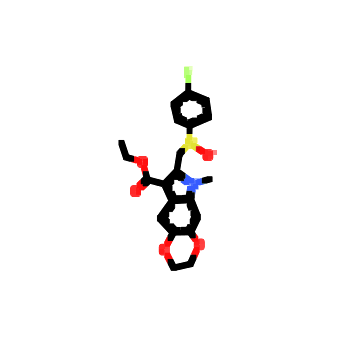 CCOC(=O)c1c(C[S+]([O-])c2ccc(F)cc2)n(C)c2cc3c(cc12)OCCO3